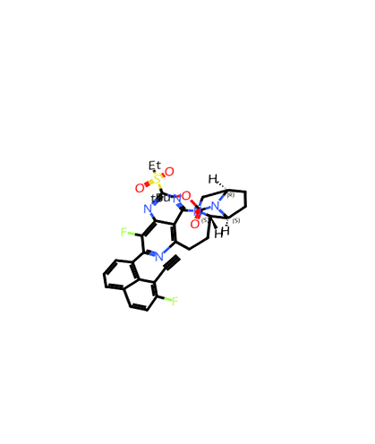 C#Cc1c(F)ccc2cccc(-c3nc4c5c(nc(S(=O)(=O)CC)nc5c3F)N3C[C@H]5CC[C@@H]([C@@H]3CC4)N5C(=O)OC(C)(C)C)c12